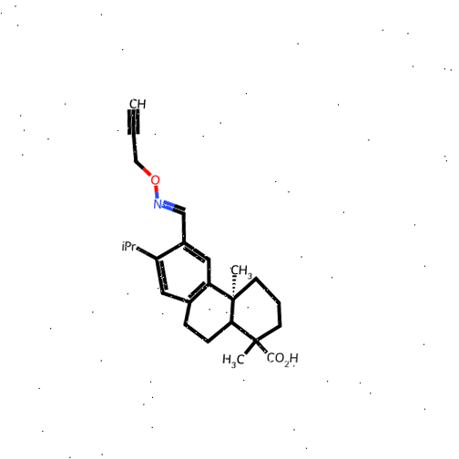 C#CCO/N=C/c1cc2c(cc1C(C)C)CCC1C(C)(C(=O)O)CCC[C@]21C